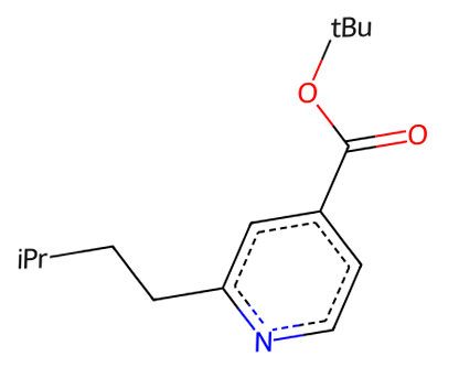 CC(C)CCc1cc(C(=O)OC(C)(C)C)ccn1